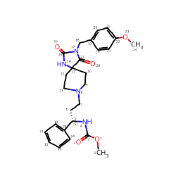 COC(=O)N[C@@H](CCN1CCC2(CC1)NC(=O)N(Cc1ccc(OC)cc1)C2=O)c1ccccc1